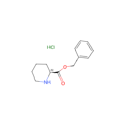 Cl.O=C(OCc1ccccc1)[C@@H]1CCCCN1